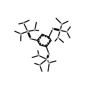 CN(C)P(=Nc1cc(N=P(N(C)C)(N(C)C)N(C)C)cc(N=P(N(C)C)(N(C)C)N(C)C)c1)(N(C)C)N(C)C